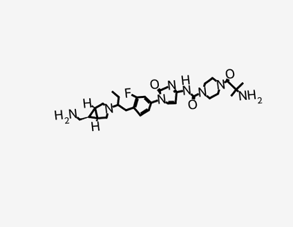 CCC(Cc1ccc(-n2ccc(NC(=O)N3CCN(C(=O)C(C)(C)N)CC3)nc2=O)cc1F)N1C[C@@H]2[C@@H](CN)[C@@H]2C1